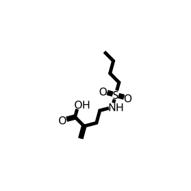 C=C(CCNS(=O)(=O)CCCC)C(=O)O